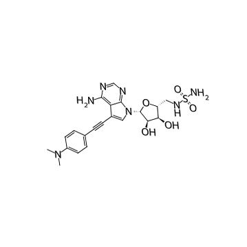 CN(C)c1ccc(C#Cc2cn([C@@H]3O[C@H](CNS(N)(=O)=O)[C@@H](O)[C@H]3O)c3ncnc(N)c23)cc1